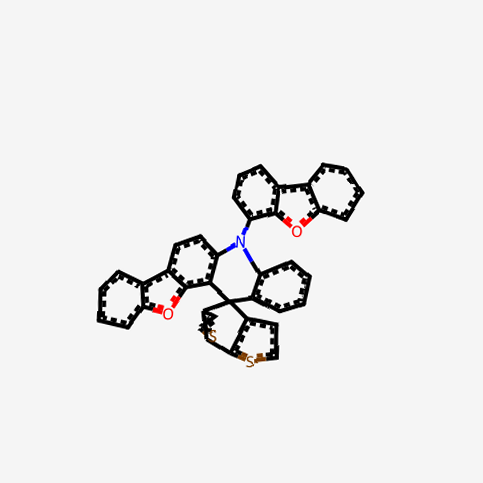 c1ccc2c(c1)N(c1cccc3c1oc1ccccc13)c1ccc3c(oc4ccccc43)c1C21c2ccsc2-c2sccc21